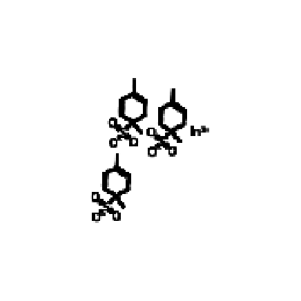 CC1=CCC(C)(S(=O)(=O)[O-])C=C1.CC1=CCC(C)(S(=O)(=O)[O-])C=C1.CC1=CCC(C)(S(=O)(=O)[O-])C=C1.[In+3]